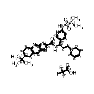 CN(C)S(=O)(=O)Nc1ccc([C@@H](CCN2CC=CCC2)NC(=O)c2nc3cc4c(nc3s2)CC[C@H](C(C)(C)C)C4)cn1.O=C(O)C(F)(F)F